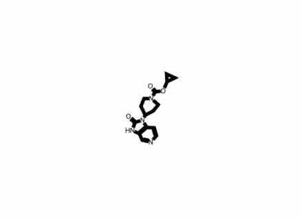 O=C(OC1CC1)N1CCC(n2c(=O)[nH]c3cnccc32)CC1